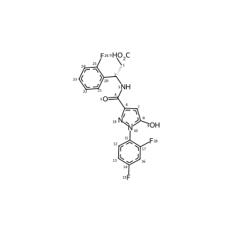 O=C(O)C[C@H](NC(=O)c1cc(O)n(-c2ccc(F)cc2F)n1)c1ccccc1F